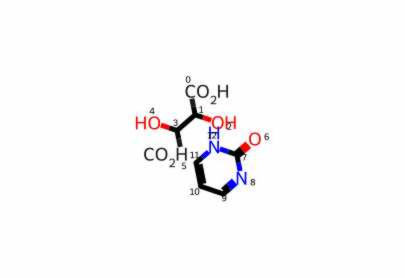 O=C(O)C(O)C(O)C(=O)O.O=c1nccc[nH]1